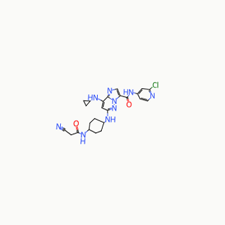 N#CCC(=O)NC1CCC(Nc2cc(NC3CC3)c3ncc(C(=O)Nc4ccnc(Cl)c4)n3n2)CC1